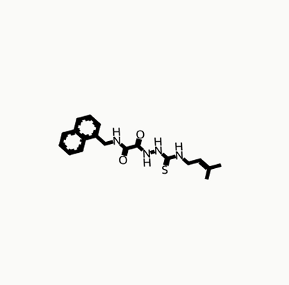 CC(C)=CCNC(=S)NNC(=O)C(=O)NCc1cccc2ccccc12